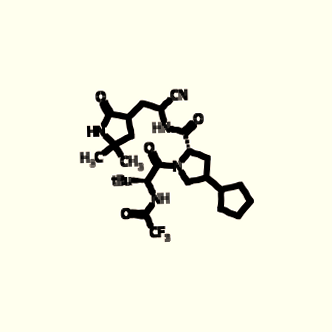 CC1(C)CC(CC(C#N)NC(=O)[C@@H]2CC(C3CCCC3)CN2C(=O)[C@@H](NC(=O)C(F)(F)F)C(C)(C)C)C(=O)N1